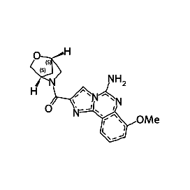 COc1cccc2c1nc(N)n1cc(C(=O)N3C[C@@H]4C[C@H]3CO4)nc21